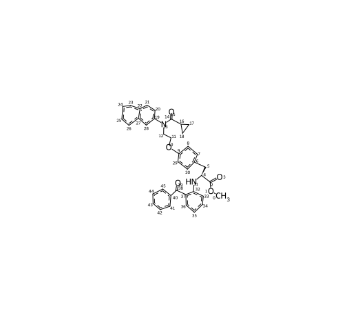 COC(=O)[C@H](Cc1ccc(OCCN(C(=O)C2CC2)c2ccc3ccccc3c2)cc1)Nc1ccccc1C(=O)c1ccccc1